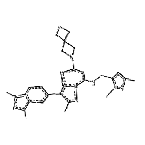 Cc1cc(CNc2cc(N3CC4(COC4)C3)nc3c(-c4ccc5c(c4)c(C)nn5C)c(C)nn23)n(C)n1